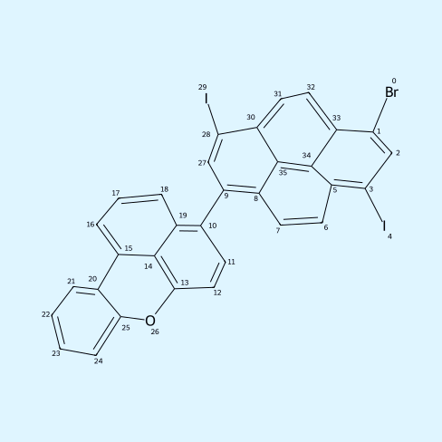 Brc1cc(I)c2ccc3c(-c4ccc5c6c(cccc46)-c4ccccc4O5)cc(I)c4ccc1c2c43